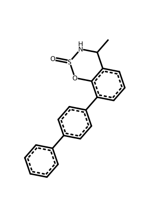 CC1NS(=O)Oc2c(-c3ccc(-c4ccccc4)cc3)cccc21